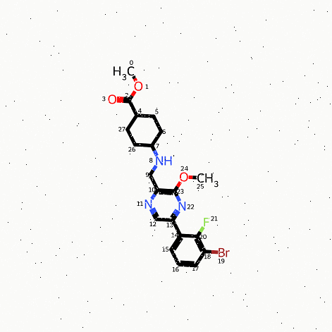 COC(=O)C1CCC(NCc2ncc(-c3cccc(Br)c3F)nc2OC)CC1